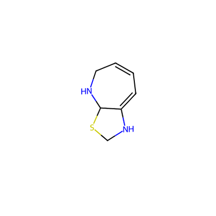 C1=CCNC2SCNC2=C1